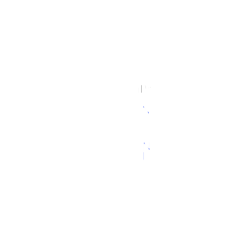 C=CCc1[nH]cc[n+]1C(C)C